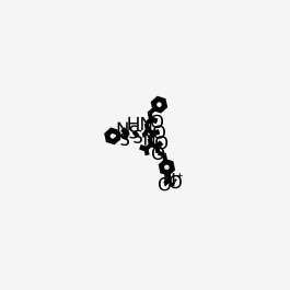 C=C(C)C(C(=O)OCc1ccc([N+](=O)[O-])cc1)N1C(=O)C(NC(=O)Cc2ccccc2)C1SSc1nc2ccccc2s1